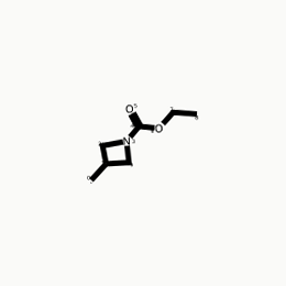 [CH2]C1CN(C(=O)OCC)C1